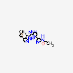 CCC(=O)Nc1cncc(-c2ccc3[nH]nc(-c4cc5c(-c6ccc(C)s6)ccnc5[nH]4)c3n2)c1